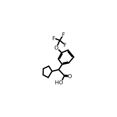 O=C(O)C(c1cccc(OC(F)(F)F)c1)C1CCCC1